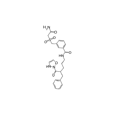 NC(=O)CS(=O)(=O)Cc1cccc(C(=O)NCCCC(Cc2ccccc2)C(=O)N2NC=CO2)c1